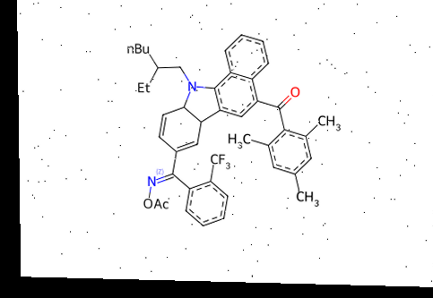 CCCCC(CC)CN1c2c(cc(C(=O)c3c(C)cc(C)cc3C)c3ccccc23)C2C=C(/C(=N/OC(C)=O)c3ccccc3C(F)(F)F)C=CC21